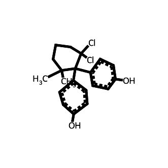 CC1(C)CCCC(Cl)(Cl)C1(c1ccc(O)cc1)c1ccc(O)cc1